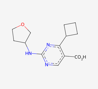 O=C(O)c1cnc(NC2CCOC2)nc1C1CCC1